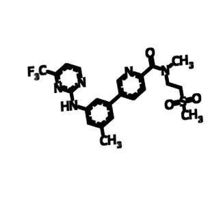 Cc1cc(Nc2nccc(C(F)(F)F)n2)cc(-c2ccc(C(=O)N(C)CCS(C)(=O)=O)nc2)c1